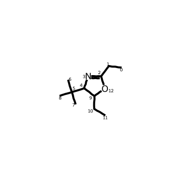 CCC1=NC(C(C)(C)C)C(CC)O1